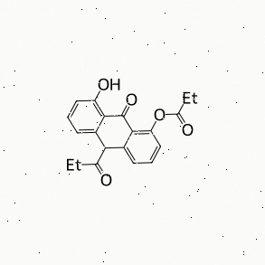 CCC(=O)Oc1cccc2c1C(=O)c1c(O)cccc1C2C(=O)CC